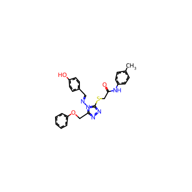 Cc1ccc(NC(=O)CSc2nnc(COc3ccccc3)n2N=Cc2ccc(O)cc2)cc1